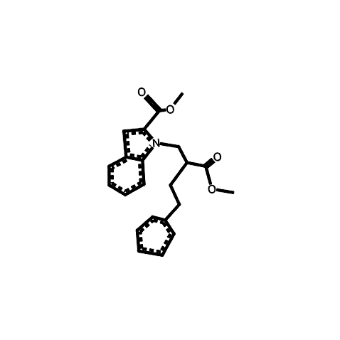 COC(=O)c1cc2ccccc2n1CC(CCc1ccccc1)C(=O)OC